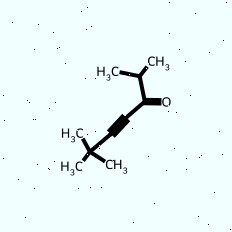 CC(C)C(=O)C#CC(C)(C)C